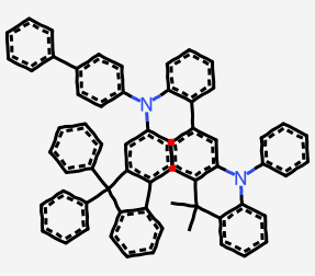 CC1(C)c2ccccc2N(c2ccccc2)c2cc(-c3ccccc3N(c3ccc(-c4ccccc4)cc3)c3ccc4c(c3)C(c3ccccc3)(c3ccccc3)c3ccccc3-4)ccc21